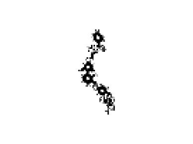 Cc1cc(OCCCNC(=O)c2ccccc2)cc(C)c1-c1cccc(COc2ccc(Cn3oc(=O)[nH]c3=O)cc2)c1C